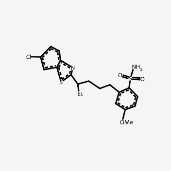 CCC(CCCc1cc(OC)ccc1S(N)(=O)=O)c1nc2ccc(Cl)cc2s1